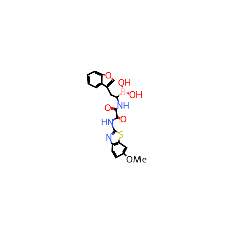 COc1ccc2nc(NC(=O)C(=O)NC(Cc3coc4ccccc34)B(O)O)sc2c1